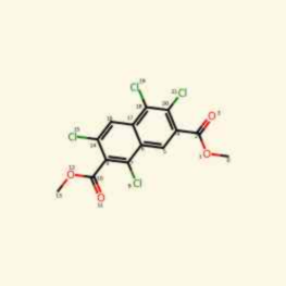 COC(=O)c1cc2c(Cl)c(C(=O)OC)c(Cl)cc2c(Cl)c1Cl